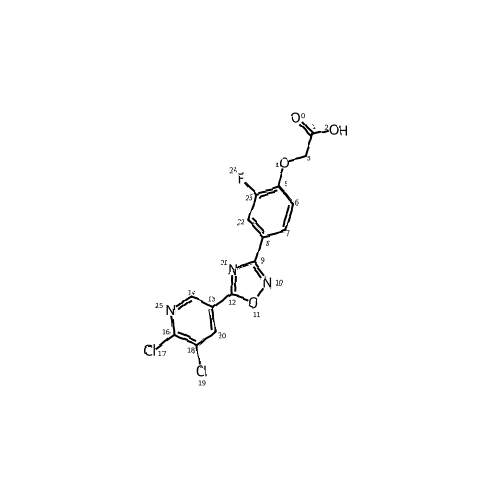 O=C(O)COc1ccc(-c2noc(-c3cnc(Cl)c(Cl)c3)n2)cc1F